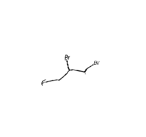 FCC(Br)[CH]Br